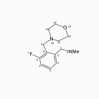 CNCc1cccc(F)c1CN1CCOCC1